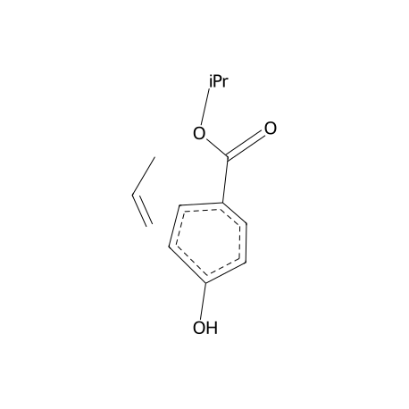 C=CC.CC(C)OC(=O)c1ccc(O)cc1